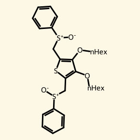 CCCCCCOc1c(C[S+]([O-])c2ccccc2)sc(C[S+]([O-])c2ccccc2)c1OCCCCCC